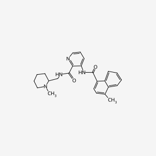 Cc1ccc(C(=O)Nc2cccnc2C(=O)NCC2CCCCN2C)c2ccccc12